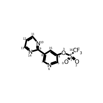 O=S(=O)(Oc1cncc(-c2ncccn2)c1)C(F)(F)F